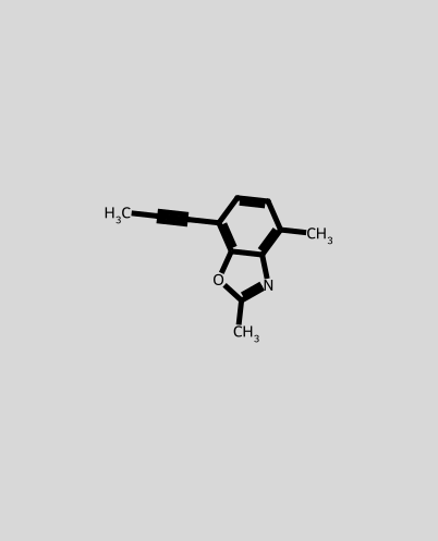 CC#Cc1ccc(C)c2nc(C)oc12